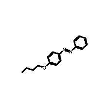 CCCCOc1ccc(/N=N/c2ccccc2)cc1